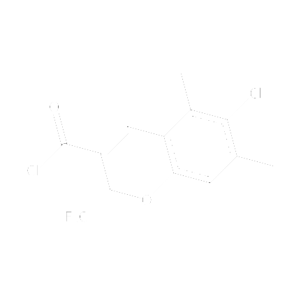 Cc1cc2c(c(C)c1Cl)C=C(C(=O)Cl)[C@@H](C(F)(F)F)O2